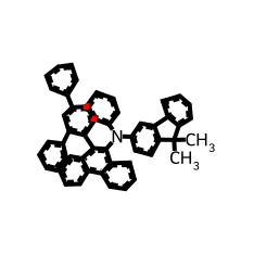 CC1(C)c2ccccc2-c2cc(N(c3ccccc3)c3c(-c4ccc(-c5ccccc5)cc4-c4ccccc4)c4ccccc4c4ccccc34)ccc21